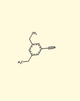 CCc1[c]c(C#N)cc(CC)c1